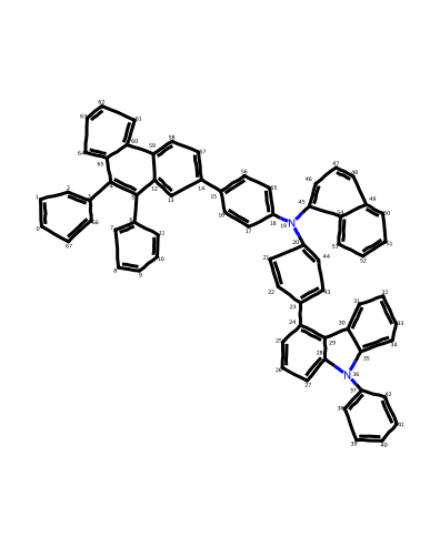 c1ccc(-c2c(-c3ccccc3)c3cc(-c4ccc(N(c5ccc(-c6cccc7c6c6ccccc6n7-c6ccccc6)cc5)c5cccc6ccccc56)cc4)ccc3c3ccccc23)cc1